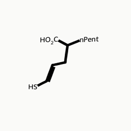 CCCCCC(CC=CS)C(=O)O